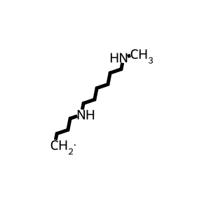 [CH2]CCCNCCCCCCNC